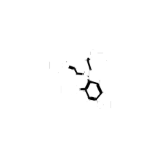 C=CCN(CC=C)c1ccc(O)cc1C